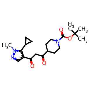 Cn1ncc(C(=O)CC(=O)C2CCN(C(=O)OC(C)(C)C)CC2)c1C1CC1